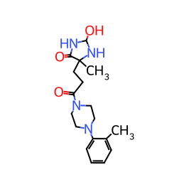 Cc1ccccc1N1CCN(C(=O)CCC2(C)NC(O)NC2=O)CC1